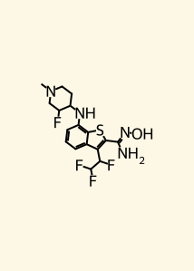 CN1CCC(Nc2cccc3c(C(F)C(F)F)c(C(N)=NO)sc23)C(F)C1